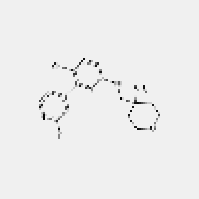 CC1(CNc2ccc(Cl)c(-c3ccnc(F)c3)n2)CCOCC1